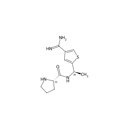 C[C@@H](NC(=O)[C@@H]1CCCN1)c1cc(C(=N)N)cs1